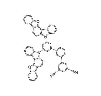 N#Cc1cc(C#N)cc(-c2cccc(-c3cc(-n4c5ccccc5c5c6oc7ccccc7c6ccc54)cc(-n4c5ccccc5c5c6oc7ccccc7c6ccc54)c3)c2)c1